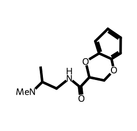 CNC(C)CNC(=O)C1COc2ccccc2O1